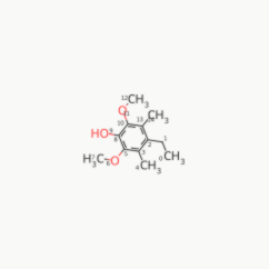 CCc1c(C)c(OC)c(O)c(OC)c1C